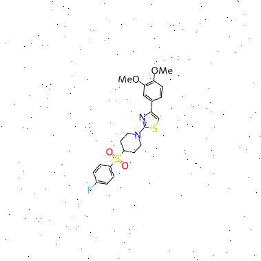 COc1ccc(-c2csc(N3CCC(S(=O)(=O)c4ccc(F)cc4)CC3)n2)cc1OC